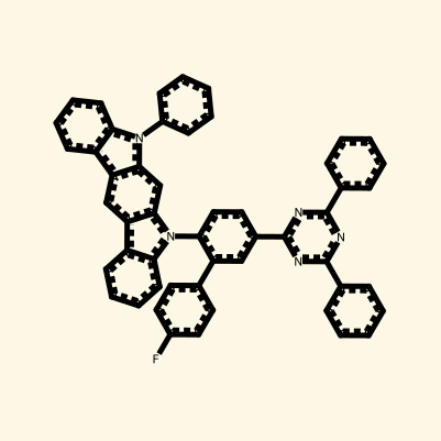 Fc1ccc(-c2cc(-c3nc(-c4ccccc4)nc(-c4ccccc4)n3)ccc2-n2c3ccccc3c3cc4c5ccccc5n(-c5ccccc5)c4cc32)cc1